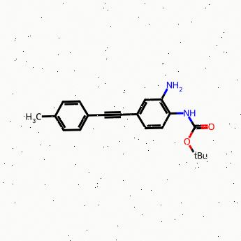 Cc1ccc(C#Cc2ccc(NC(=O)OC(C)(C)C)c(N)c2)cc1